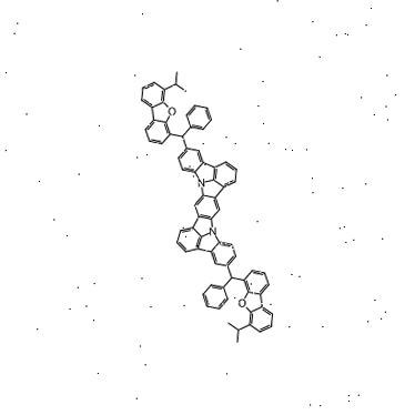 CC(C)c1cccc2c1oc1c(C(c3ccccc3)c3ccc4c(c3)c3cccc5c6cc7c(cc6n4c35)c3cccc4c5cc(C(c6ccccc6)c6cccc8c6oc6c(C(C)C)cccc68)ccc5n7c43)cccc12